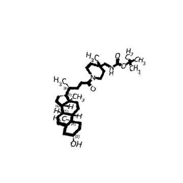 C[C@H](CCC(=O)N1CCC(C)(CNC(=O)OC(C)(C)C)CC1)[C@H]1CC[C@H]2[C@@H]3CC=C4C[C@@H](O)CC[C@]4(C)[C@H]3CC[C@]12C